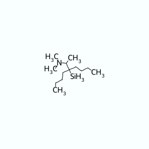 CCCCC([SiH3])(CCCC)C(C)N(C)C